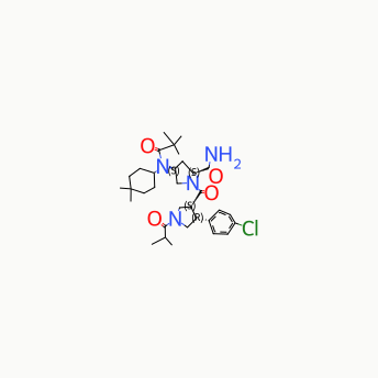 CC(C)C(=O)N1C[C@@H](C(=O)N2C[C@@H](N(C(=O)C(C)(C)C)C3CCC(C)(C)CC3)C[C@H]2C(N)=O)[C@H](c2ccc(Cl)cc2)C1